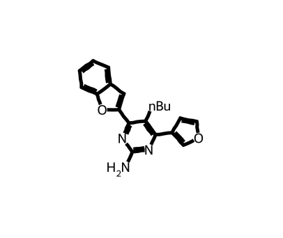 CCCCc1c(-c2ccoc2)nc(N)nc1-c1cc2ccccc2o1